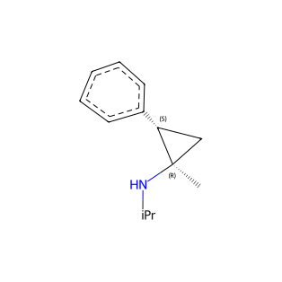 CC(C)N[C@]1(C)C[C@H]1c1ccccc1